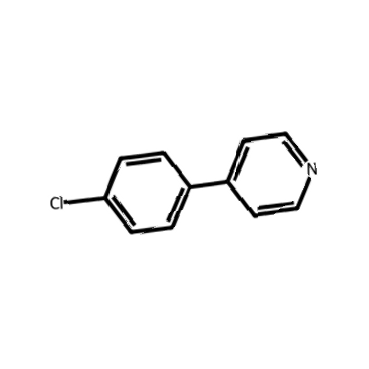 Clc1ccc(-c2ccncc2)cc1